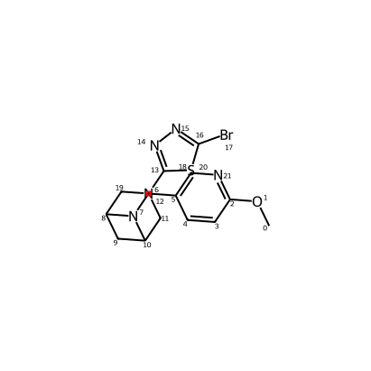 COc1ccc(CN2C3CC2CN(c2nnc(Br)s2)C3)cn1